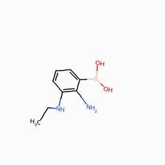 CCNc1cccc(B(O)O)c1N